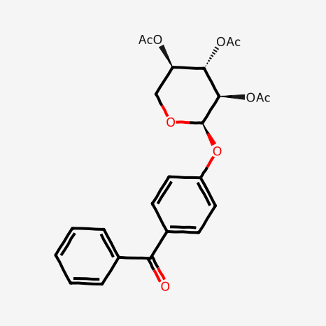 CC(=O)O[C@@H]1[C@@H](OC(C)=O)[C@@H](Oc2ccc(C(=O)c3ccccc3)cc2)OC[C@H]1OC(C)=O